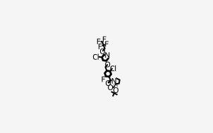 CC(C)(C)OC(=O)[C@@H]1CCCN1C(=O)c1cc(Cl)c(COc2cnc(OCC(F)(F)C(F)F)c(Cl)c2)cc1F